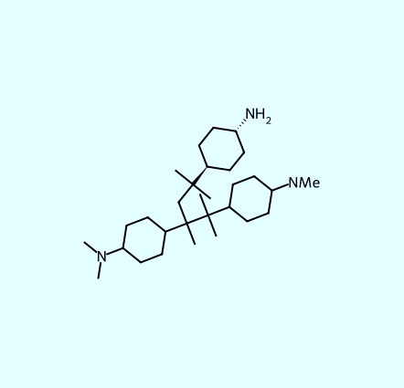 CNC1CCC(C(C)(C)C(C)(CC(C)(C)[C@H]2CC[C@H](N)CC2)C2CCC(N(C)C)CC2)CC1